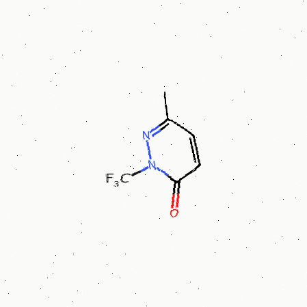 Cc1ccc(=O)n(C(F)(F)F)n1